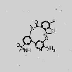 C[C@H]1Oc2cc(cnc2N)-c2cc(S(C)(=N)=O)ccc2CN(C)C(=O)c2ccc(F)c(Cl)c21